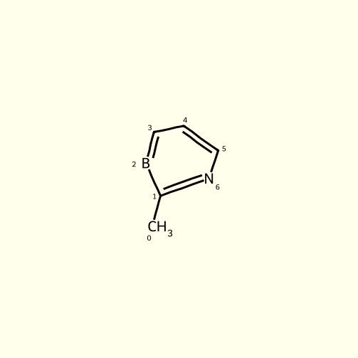 Cc1bcccn1